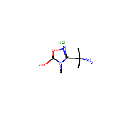 CN1C(C(C)(C)N)=NOC1O.Cl